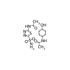 CC(=O)Nc1ccc(O)cc1.CC(=O)Nc1nnc(S(N)(=O)=O)s1